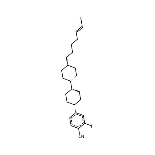 N#Cc1ccc([C@H]2CC[C@H]([C@H]3CC[C@H](CCCC/C=C/F)CC3)CC2)cc1F